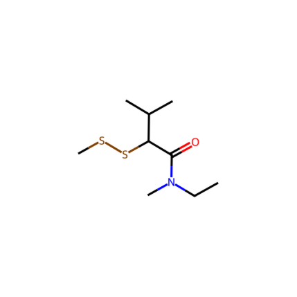 CCN(C)C(=O)C(SSC)C(C)C